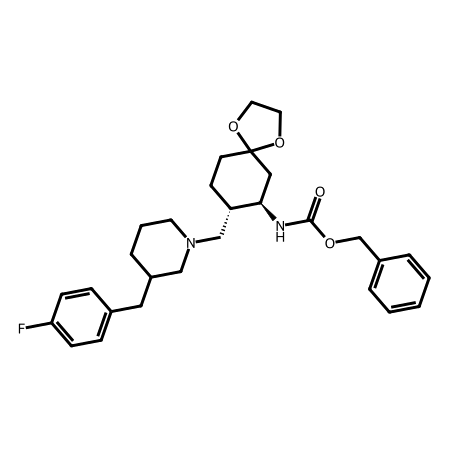 O=C(N[C@@H]1CC2(CC[C@H]1CN1CCCC(Cc3ccc(F)cc3)C1)OCCO2)OCc1ccccc1